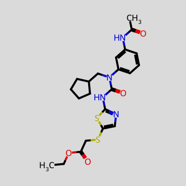 CCOC(=O)CSc1cnc(NC(=O)N(CC2CCCC2)c2cccc(NC(C)=O)c2)s1